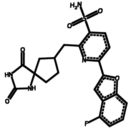 NS(=O)(=O)c1ccc(-c2cc3c(F)cccc3o2)nc1CC1CCC2(C1)NC(=O)NC2=O